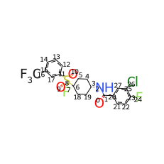 O=C(N[C@H]1CC[C@](F)(S(=O)(=O)c2cccc(C(F)(F)F)c2)CC1)c1ccc(F)c(Cl)c1